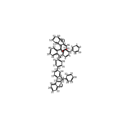 c1ccc(-c2ccc(N(c3ccc(-c4ccc5c6c7ccccc7oc6n(-c6ccccc6)c5c4)cc3)c3ccccc3-c3cccc4oc5ccccc5c34)cc2)cc1